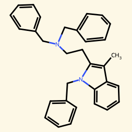 Cc1c(CCN(Cc2ccccc2)Cc2ccccc2)n(Cc2ccccc2)c2ccccc12